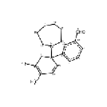 CC1=C(F)CC(c2cccc(C=O)c2)(N2CCCCCC2)C=C1